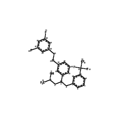 OC(CN(Cc1cccc(C(F)(F)C(F)(F)F)c1)c1cccc(OCc2cc(F)cc(F)c2)c1)C(F)(F)F